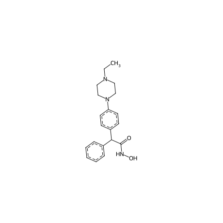 CCN1CCN(c2ccc(C(C(=O)NO)c3ccccc3)cc2)CC1